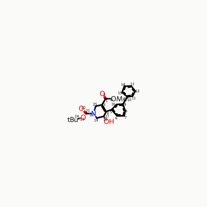 COC(=O)C1=C(c2cccc(-c3ccccc3)c2)C(O)CN(C(=O)OC(C)(C)C)C1